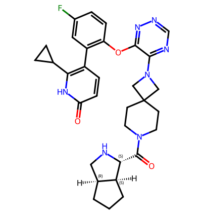 O=C([C@H]1NC[C@@H]2CCC[C@@H]21)N1CCC2(CC1)CN(c1ncnnc1Oc1ccc(F)cc1-c1ccc(=O)[nH]c1C1CC1)C2